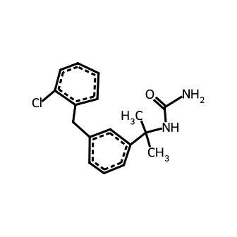 CC(C)(NC(N)=O)c1cccc(Cc2ccccc2Cl)c1